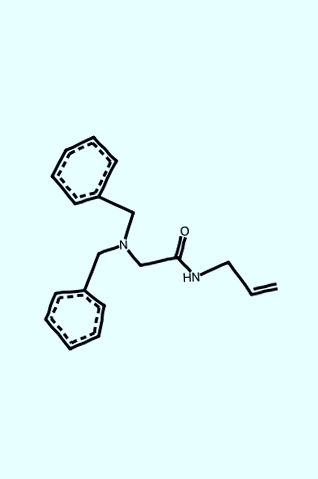 C=CCNC(=O)CN(Cc1ccccc1)Cc1ccccc1